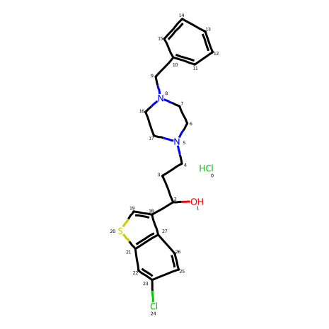 Cl.OC(CCN1CCN(Cc2ccccc2)CC1)c1csc2cc(Cl)ccc12